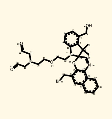 CC1(C)c2c(CO)cccc2N(CCOCCN(CC=O)CC=O)C12C=Nc1c(c(CBr)cc3ccccc13)O2